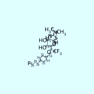 CN(C)C1=N[C@@H]2[C@@H](O)[C@H](O)C([C@@H](OCc3ccc(CCCF)cc3)C(F)(F)F)O[C@@H]2S1